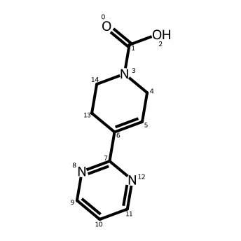 O=C(O)N1CC=C(c2ncccn2)CC1